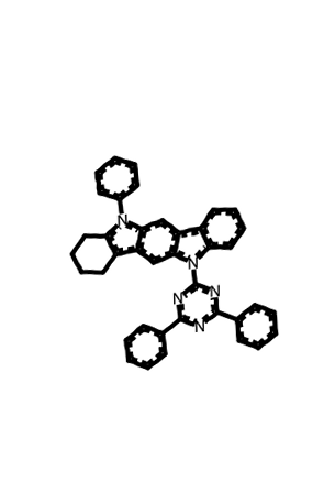 c1ccc(-c2nc(-c3ccccc3)nc(-n3c4ccccc4c4cc5c(cc43)c3c(n5-c4ccccc4)CCCC3)n2)cc1